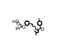 Cc1ccc(C(=O)c2cc(C)cn2C/C=C/c2cccc(O[C@H](COO)C(C)C)c2)cc1